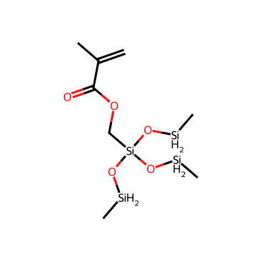 C=C(C)C(=O)OC[Si](O[SiH2]C)(O[SiH2]C)O[SiH2]C